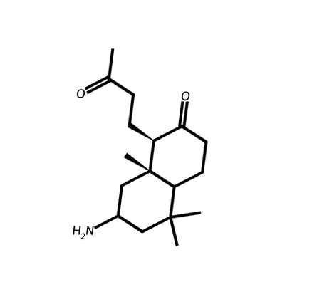 CC(=O)CC[C@H]1C(=O)CCC2C(C)(C)CC(N)C[C@@]21C